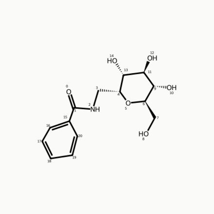 O=C(NC[C@H]1O[C@H](CO)[C@@H](O)[C@H](O)[C@H]1O)c1ccccc1